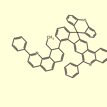 CCC1c2c(ccc3ccc(-c4ccccc4)nc23)C=CC1c1cccc2c1-c1cc3c(-c4ccccc4)nc4ccccc4c3cc1C21c2ccccc2Sc2ccccc21